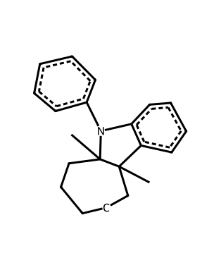 CC12CCCCCC1(C)N(c1ccccc1)c1ccccc12